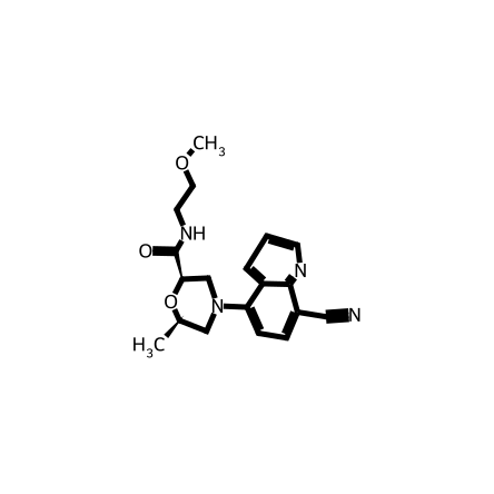 COCCNC(=O)[C@H]1CN(c2ccc(C#N)c3ncccc23)C[C@@H](C)O1